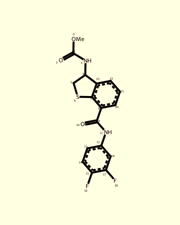 COC(=O)NC1CSc2c(C(=O)Nc3ccc(F)c(F)c3)cccc21